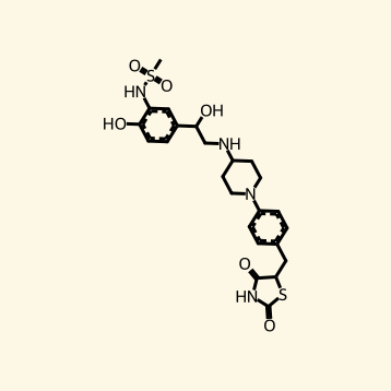 CS(=O)(=O)Nc1cc(C(O)CNC2CCN(c3ccc(CC4SC(=O)NC4=O)cc3)CC2)ccc1O